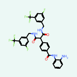 Nc1ccccc1NC(=O)c1ccc(C(C(=O)NCc2cc(F)cc(C(F)(F)F)c2)C(=O)NCc2cc(F)cc(C(F)(F)F)c2)cc1